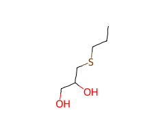 CCCSCC(O)CO